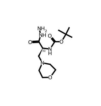 CC(C)(C)OC(=O)N[C@@H](CN1CCOCC1)C(=O)NN